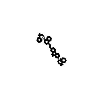 CC1(C)CCN(c2ccc3c(c2)C(C)(C)c2cc(/C=C/C4=c5ccccc5=C(N5CCC(C)(C)c6ccccc65)CC4)ccc2-3)C2=C1CCC=C2